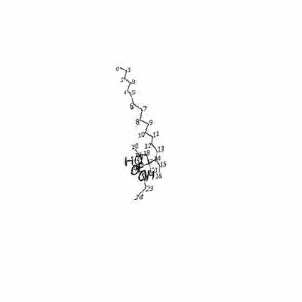 CCCCCCCCCCCCCCC(CC)C(CCC)(CCCC)P(=O)(O)O